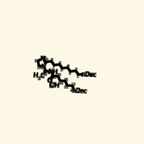 CCCCCCCCCCCCCCCCCCC1=NCCN1C(C)NC(=O)CCCCCCCCCCCCCCC.Cl